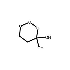 OC1(O)CCOOO1